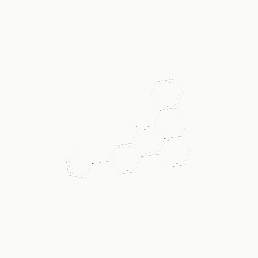 C[n+]1c2c3c(cccc3c3ccc(-c4ccco4)cc31)Oc1ccccc1-2